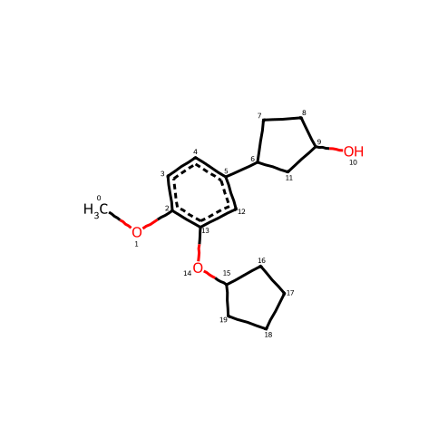 COc1ccc(C2CCC(O)C2)cc1OC1CCCC1